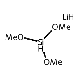 CO[SiH](OC)OC.[LiH]